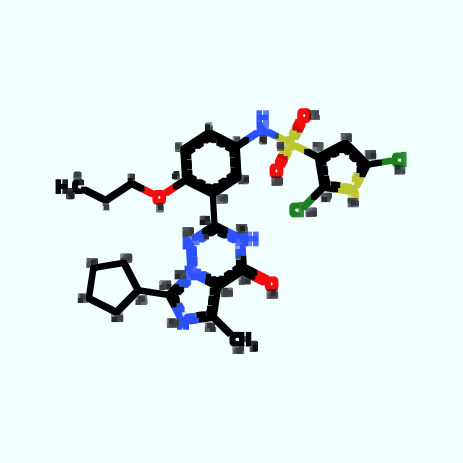 CCCOc1ccc(NS(=O)(=O)c2cc(Cl)sc2Cl)cc1-c1nn2c(C3CCCC3)nc(C)c2c(=O)[nH]1